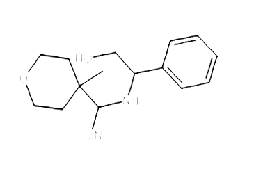 CC1(C(C#N)NC(CO)c2ccccc2)CCOCC1